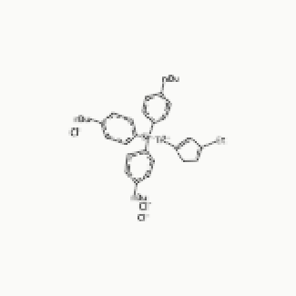 CCCCc1ccc([Si]([Ti+3][C]2=CC(CC)=CC2)(c2ccc(CCCC)cc2)c2ccc(CCCC)cc2)cc1.[Cl-].[Cl-].[Cl-]